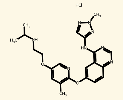 Cc1cc(OCCNC(C)C)cnc1Oc1ccc2ncnc(Nc3cnn(C)n3)c2c1.Cl